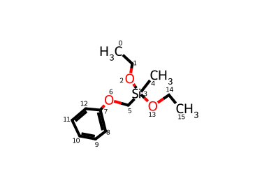 CCO[Si](C)(COc1ccccc1)OCC